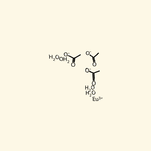 CC(=O)[O-].CC(=O)[O-].CC(=O)[O-].O.O.O.O.[Eu+3]